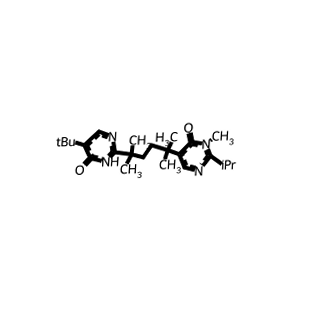 CC(C)c1ncc(C(C)(C)CCC(C)(C)c2ncc(C(C)(C)C)c(=O)[nH]2)c(=O)n1C